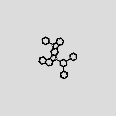 c1ccc(-c2cc(-c3ccccc3)cc(-n3c4cc5c6ccccc6n(-c6ccccc6)c5cc4c4c5ccccc5ccc43)c2)cc1